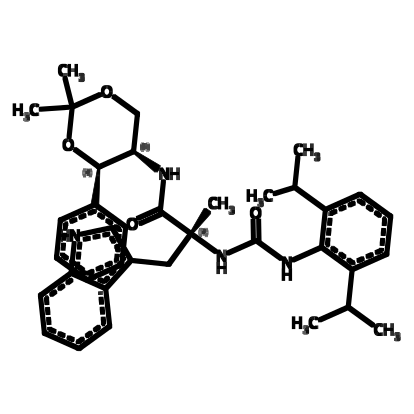 CC(C)c1cccc(C(C)C)c1NC(=O)N[C@](C)(Cc1c[nH]c2ccccc12)C(=O)N[C@@H]1COC(C)(C)O[C@@H]1c1ccccc1